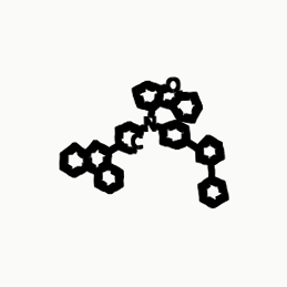 c1ccc(-c2cccc(-c3ccc(N(c4ccc(-c5cc6ccccc6c6ccccc56)cc4)c4cccc5oc6ccccc6c45)cc3)c2)cc1